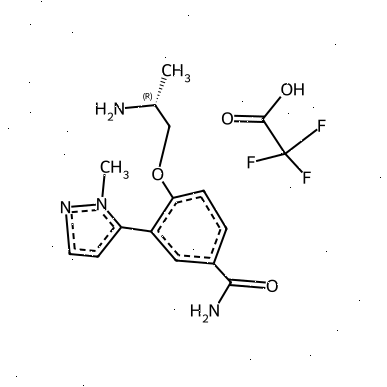 C[C@@H](N)COc1ccc(C(N)=O)cc1-c1ccnn1C.O=C(O)C(F)(F)F